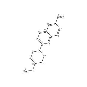 CCCCCCCCc1ccc2cc(C3CCC(CC(C)CC)CC3)ccc2c1